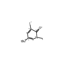 Cn1cc(C(C)(C)C)cc(I)c1=O